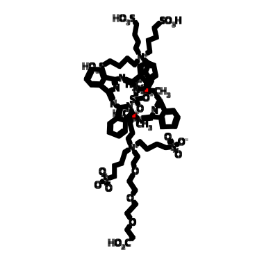 C[Si](C)(CCC[N+](CCCCS(=O)(=O)O)(CCCCS(=O)(=O)O)CCCCS(=O)(=O)O)O[Si]1(O[Si](C)(C)CCC[N+](CCCCS(=O)(=O)[O-])(CCCCS(=O)(=O)[O-])CCOCCOCCOCCC(=O)O)n2c3c4ccccc4c2/N=C2N=C(/N=c4/c5ccccc5/c(n41)=N/C1=NC(=N\3)/c3ccccc31)c1ccccc1\2